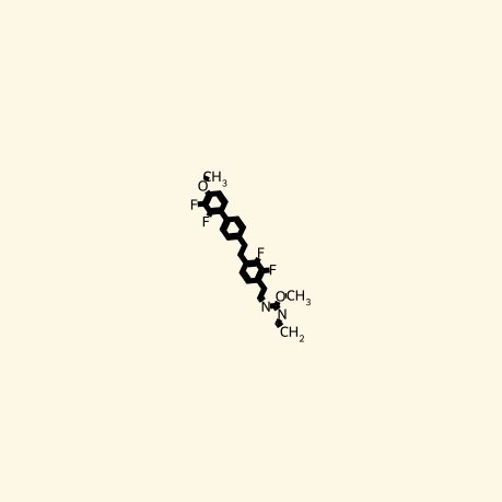 C=C/N=C(\N=C/Cc1ccc(CCc2ccc(-c3ccc(OC)c(F)c3F)cc2)c(F)c1F)OC